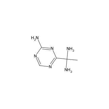 CC(N)(N)c1ncnc(N)n1